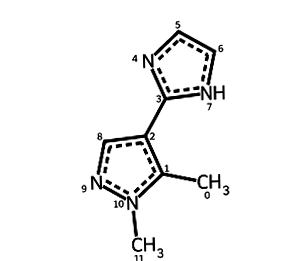 Cc1c(-c2ncc[nH]2)cnn1C